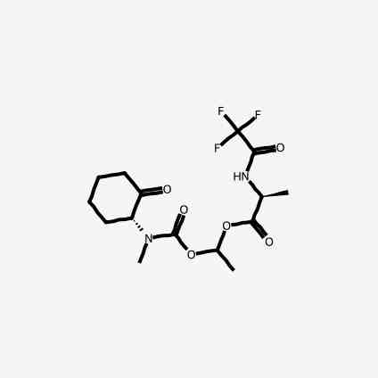 CC(OC(=O)[C@H](C)NC(=O)C(F)(F)F)OC(=O)N(C)[C@@H]1CCCCC1=O